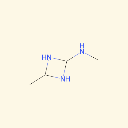 CNC1NC(C)N1